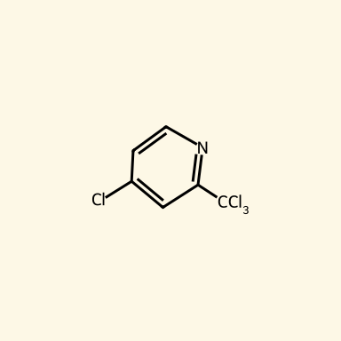 Clc1ccnc(C(Cl)(Cl)Cl)c1